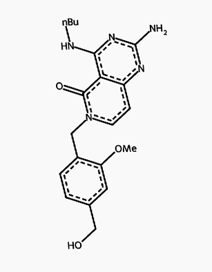 CCCCNc1nc(N)nc2ccn(Cc3ccc(CO)cc3OC)c(=O)c12